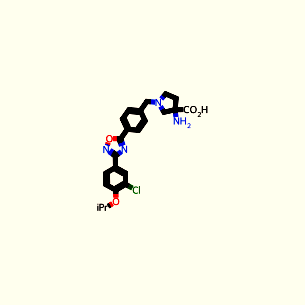 CC(C)Oc1ccc(-c2noc(-c3ccc(CN4CCC(N)(C(=O)O)C4)cc3)n2)cc1Cl